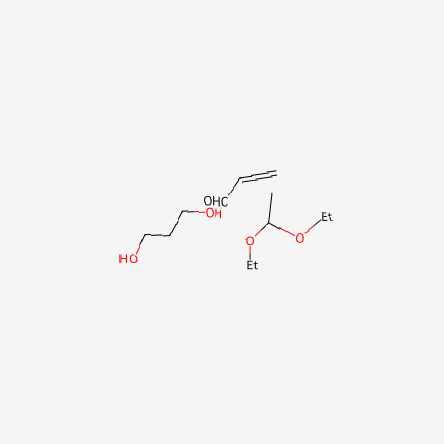 C=CC=O.CCOC(C)OCC.OCCCO